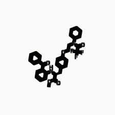 COC(=O)[C@H](Cc1ccc(OCCN(C(=O)C(F)(F)F)C2CCCCC2)cc1)Nc1ccccc1C(=O)c1ccccc1